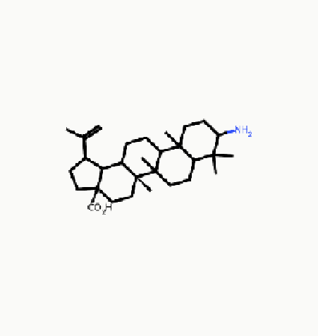 C=C(C)C1CCC2(C(=O)O)CC[C@]3(C)C(CCC4C5(C)CCC(N)C(C)(C)C5CCC43C)C12